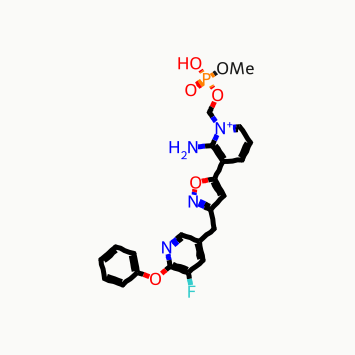 COP(=O)(O)OC[n+]1cccc(-c2cc(Cc3cnc(Oc4ccccc4)c(F)c3)no2)c1N